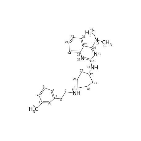 Cc1cccc(CCN[C@H]2CC[C@@H](Nc3nc(N(C)C)c4ccccc4n3)CC2)c1